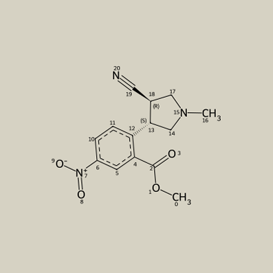 COC(=O)c1cc([N+](=O)[O-])ccc1[C@H]1CN(C)C[C@@H]1C#N